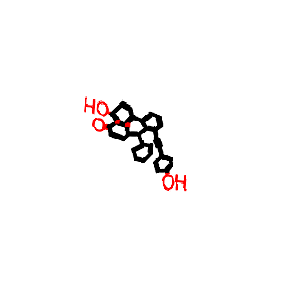 O=C1C=CC(=C(c2ccccc2)c2c(C#Cc3ccc(O)cc3)cccc2-c2ccc(O)cc2)C=C1